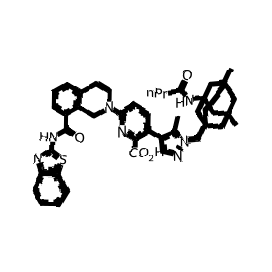 CCCC(=O)NC12CC3(C)CC(C)(CC(Cn4ncc(-c5ccc(N6CCc7cccc(C(=O)Nc8nc9ccccc9s8)c7C6)nc5C(=O)O)c4C)(C3)C1)C2